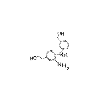 Nc1cc(CCO)ccc1Nc1cccc(CO)c1